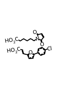 O=C(O)C=Cc1ccc(-c2ccc(Cl)cc2)o1.O=C(O)CCCCCN1C(=O)C=CC1=O